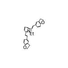 CC[n+]1c(/C=C/c2ccc3c(c2)CCO3)cccc1/C=C/c1ccc2c(c1)CCO2